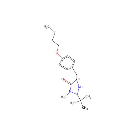 CCCCOc1ccc(C[C@@H]2NC(C(C)(C)C)N(C)C2=O)cc1